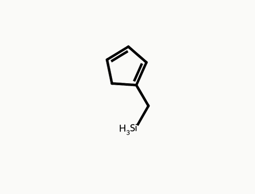 [SiH3]CC1=CC=CC1